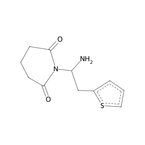 NC(Cc1cccs1)N1C(=O)CCCC1=O